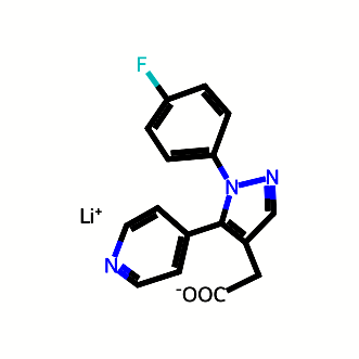 O=C([O-])Cc1cnn(-c2ccc(F)cc2)c1-c1ccncc1.[Li+]